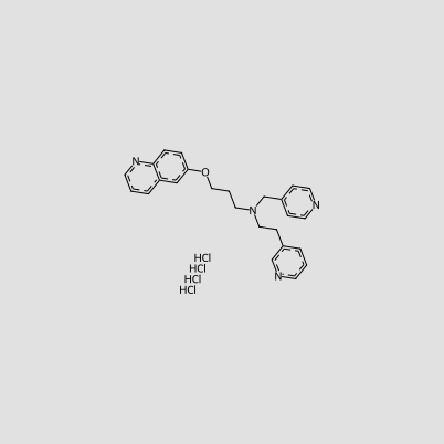 Cl.Cl.Cl.Cl.c1cncc(CCN(CCCOc2ccc3ncccc3c2)Cc2ccncc2)c1